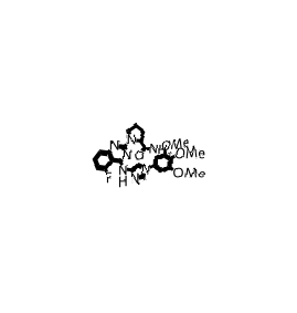 COc1cc(-n2cnc(Nc3nc(N4CCCC4C(N)=O)nc4cccc(F)c34)c2)cc(OC)c1OC